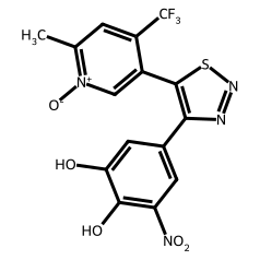 Cc1cc(C(F)(F)F)c(-c2snnc2-c2cc(O)c(O)c([N+](=O)[O-])c2)c[n+]1[O-]